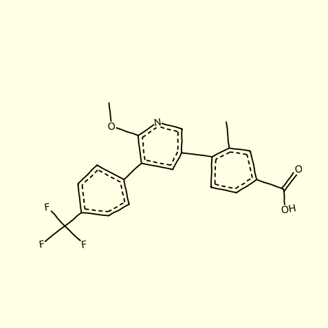 COc1ncc(-c2ccc(C(=O)O)cc2C)cc1-c1ccc(C(F)(F)F)cc1